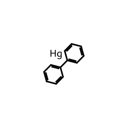 [Hg].c1ccc(-c2ccccc2)cc1